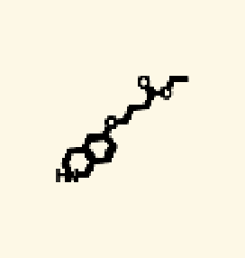 CCOC(=O)CCCOc1ccc2c(c1)CCNC2